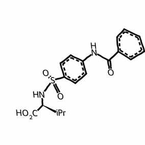 CC(C)[C@H](NS(=O)(=O)c1ccc(NC(=O)c2ccccc2)cc1)C(=O)O